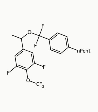 CCCCCc1ccc(C(F)(F)OC(C)c2cc(F)c(OC(F)(F)F)c(F)c2)cc1